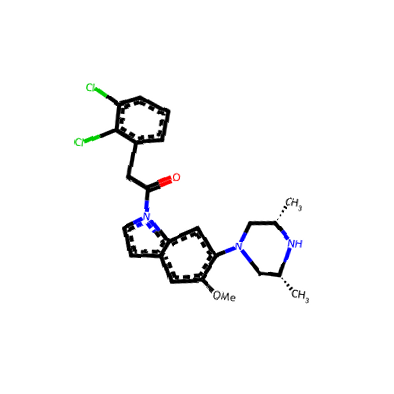 COc1cc2ccn(C(=O)Cc3cccc(Cl)c3Cl)c2cc1N1C[C@@H](C)N[C@@H](C)C1